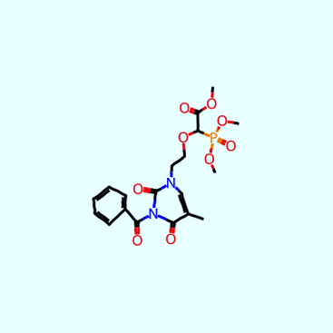 COC(=O)C(OCCn1cc(C)c(=O)n(C(=O)c2ccccc2)c1=O)P(=O)(OC)OC